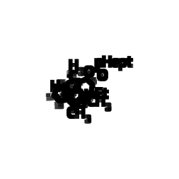 CCCCCCCC(=O)OC1CC(C)(CC)N(OC(C)c2ccccc2)C(C)(CC)C1C